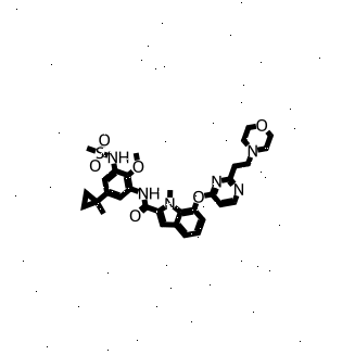 COc1c(NC(=O)c2cc3cccc(Oc4ccnc(CCN5CCOCC5)n4)c3n2C)cc(C2(C)CC2)cc1NS(C)(=O)=O